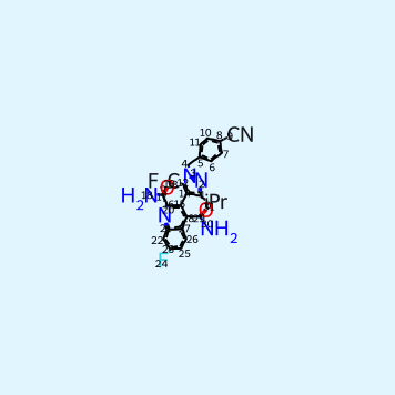 CC(C)c1nn(Cc2ccc(C#N)cc2)c(C(F)(F)F)c1-c1c(C(N)=O)nc2cc(F)ccc2c1C(N)=O